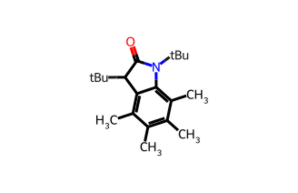 Cc1c(C)c(C)c2c(c1C)C(C(C)(C)C)C(=O)N2C(C)(C)C